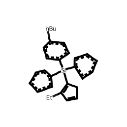 CCCCc1ccc([Si](C2=C(CC)C=CC2)(c2ccccc2)c2ccccc2)cc1